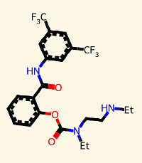 CCNCCN(CC)C(=O)Oc1ccccc1C(=O)Nc1cc(C(F)(F)F)cc(C(F)(F)F)c1